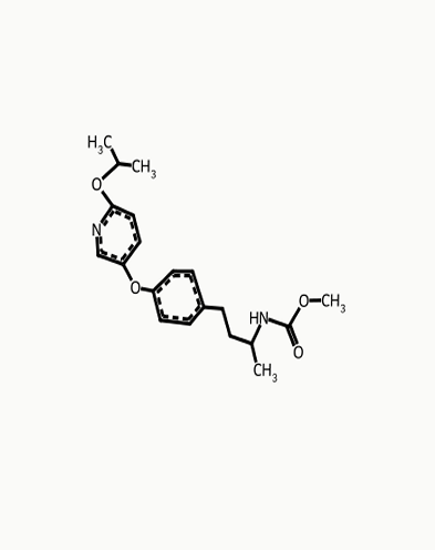 COC(=O)NC(C)CCc1ccc(Oc2ccc(OC(C)C)nc2)cc1